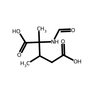 CC(CC(=O)O)C(C)(NC=O)C(=O)O